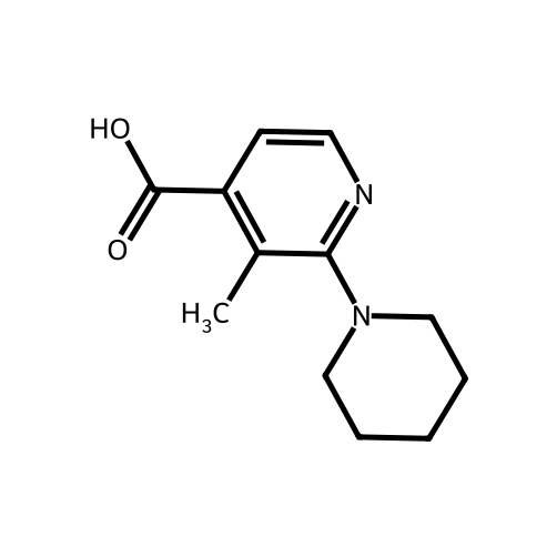 Cc1c(C(=O)O)ccnc1N1CCCCC1